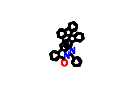 O=c1c2ccccc2c2cc(-c3cccc4c3C3(c5ccccc5-c5ccccc53)c3ccccc3-4)cc3nc(-c4ccccc4)n1c32